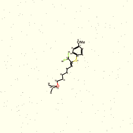 COc1ccc(SC(=CCCCCCO[SiH](C)C)C(F)F)cc1